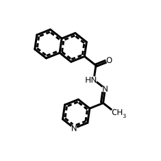 CC(=NNC(=O)c1ccc2ccccc2c1)c1cccnc1